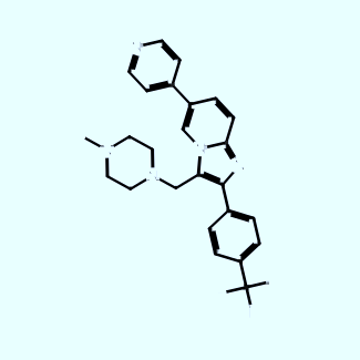 CN1CCN(Cc2c(-c3ccc(C(F)(F)F)cc3)nc3ccc(-c4ccncc4)cn23)CC1